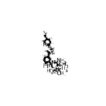 CN=[S@@]1(=O)C[C@@](C)(c2cc(-c3cn(-c4ccc(C#N)cn4)nn3)ccc2F)N=C(N)C1(C)C